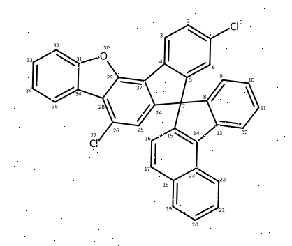 Clc1ccc2c(c1)C1(c3ccccc3-c3c1ccc1ccccc31)c1cc(Cl)c3c(oc4ccccc43)c1-2